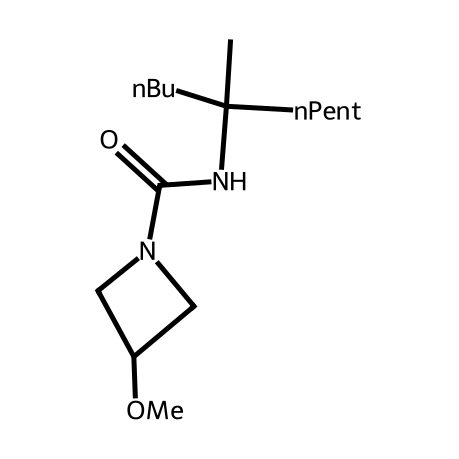 CCCCCC(C)(CCCC)NC(=O)N1CC(OC)C1